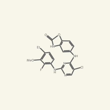 CCc1ccc(Nc2ncc(Cl)c(Nc3ccc4oc(=O)[nH]c4c3)n2)c(F)c1OC